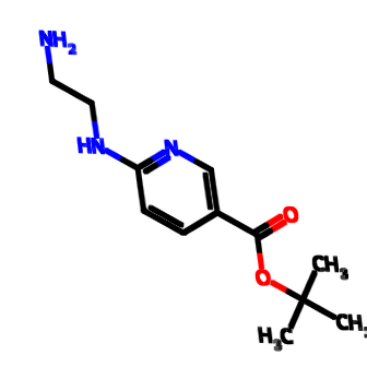 CC(C)(C)OC(=O)c1ccc(NCCN)nc1